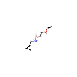 C=COCCONCC1CC1